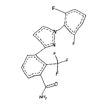 NC(=O)c1cccc(-c2ccn(-c3c(F)cccc3F)n2)c1C(F)(F)F